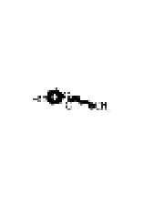 CCCCCC(=O)Oc1ccc(O)cc1